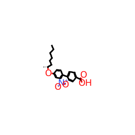 CCCCCC[C@@H](C)Oc1ccc(-c2ccc(C(=O)O)cc2)c([N+](=O)[O-])c1